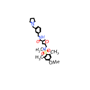 COc1cc(C)c(S(=O)(=O)N(C)Cc2cc(C(=O)NCc3cccc(CN4CCCC4)c3)co2)c(C)c1